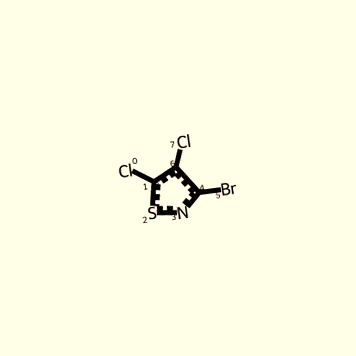 Clc1snc(Br)c1Cl